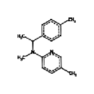 Cc1ccc(C(C)N(C)c2ccc(C)cn2)cc1